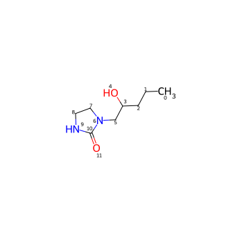 CCCC(O)CN1CCNC1=O